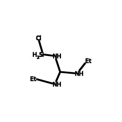 CCNC(NCC)N[SiH2]Cl